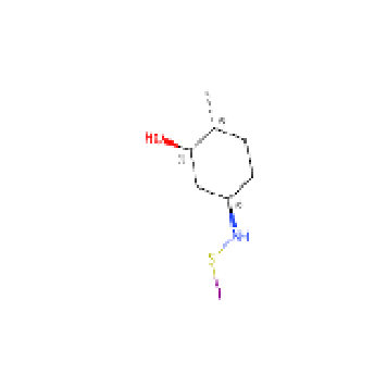 C[C@@H]1CC[C@@H](NSI)C[C@H]1O